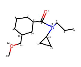 CCCN(C(=O)C1CCCC(COC)C1)C1CC1